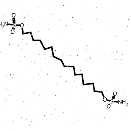 NS(=O)(=O)OCCCCCCCCCCCCCCCCOS(N)(=O)=O